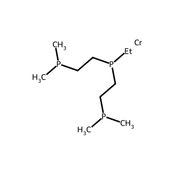 CCP(CCP(C)C)CCP(C)C.[Cr]